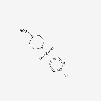 O=C(O)N1CCN(S(=O)(=O)c2ccc(Cl)nc2)CC1